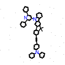 CC1(C)c2cc(C#Cc3ccc(N(c4ccccc4)c4ccccc4)cc3)ccc2-c2cc3c(cc21)c1ccccc1n3-c1cc(-c2ccccc2)nc(-c2ccccc2)c1